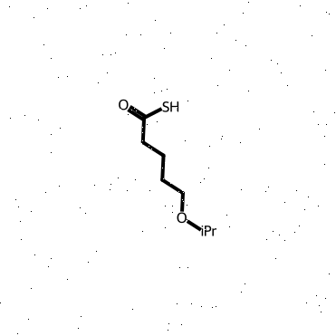 CC(C)OCCCCC(=O)S